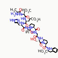 CC(C)[C@H](NC(=O)[C@H](Cc1c[nH]cn1)NC(=O)[C@H](CCC(=O)O)NC(=O)[C@H](CC(=O)O)NC(=O)[C@H](C)N)C(=O)N1CCC[C@H]1C(=O)NCC(=O)N[C@@H](CO)C(=O)N1CCC[C@H]1C(=O)N[C@@H](Cc1ccccc1)C(=O)O